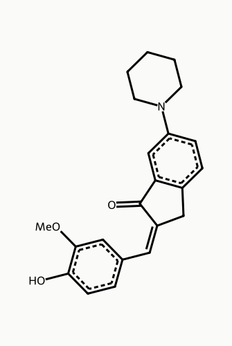 COc1cc(C=C2Cc3ccc(N4CCCCC4)cc3C2=O)ccc1O